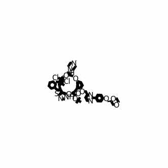 Cc1c(Cl)c2c(Cl)c(C)c1-c1c(C3CCCCC3)sc3ncnc(c13)O[C@@H](C(=O)OC(C)(C)C)Cc1cc(ccc1OCc1ccnc(-c3ccc(OC[C@@H]4COCCO4)cc3)n1)OC[C@@H](CN1CCN(C)CC1)O2